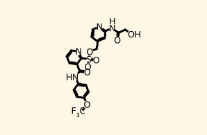 O=C(CO)Nc1cc(COS(=O)(=O)c2ncccc2C(=O)Nc2ccc(OC(F)(F)F)cc2)ccn1